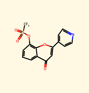 O=c1cc(-c2ccncc2)oc2c(OS(=O)(=O)C(F)(F)F)cccc12